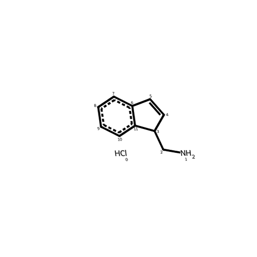 Cl.NCC1C=Cc2ccccc21